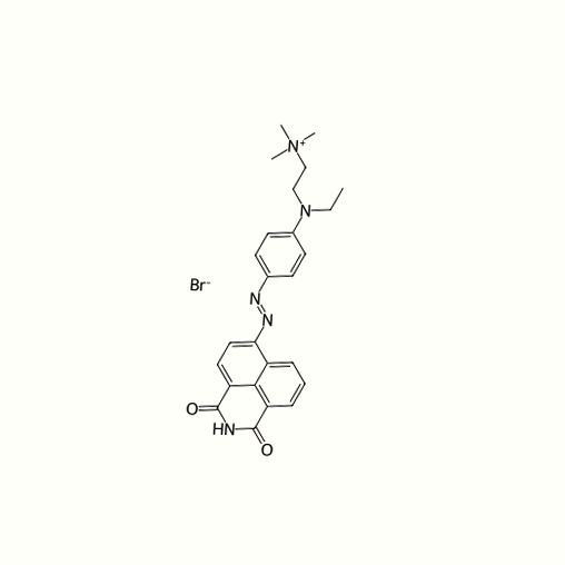 CCN(CC[N+](C)(C)C)c1ccc(N=Nc2ccc3c4c(cccc24)C(=O)NC3=O)cc1.[Br-]